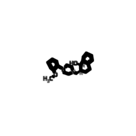 COc1ccccc1N1CCN(C[C@@H]2CCc3ccccc3[C@@H]2O)CC1